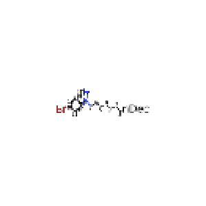 CCCCCCCCCCCCCCCCCNc1ccc(Br)cc1C(C)C